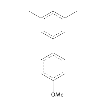 COc1ccc(-c2cc(C)[c]c(C)c2)cc1